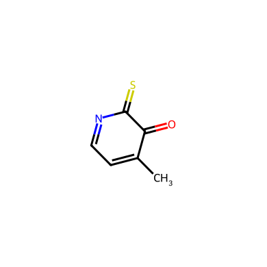 CC1=CC=NC(=S)C1=O